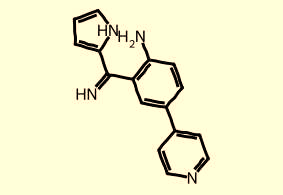 N=C(c1ccc[nH]1)c1cc(-c2ccncc2)ccc1N